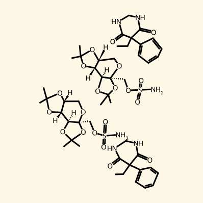 CC1(C)O[C@@H]2[C@@H](CO[C@@]3(COS(N)(=O)=O)OC(C)(C)O[C@@H]23)O1.CC1(C)O[C@@H]2[C@@H](CO[C@@]3(COS(N)(=O)=O)OC(C)(C)O[C@@H]23)O1.CCC1(c2ccccc2)C(=O)NCNC1=O.CCC1(c2ccccc2)C(=O)NCNC1=O